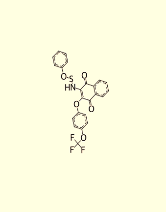 O=C1C(NSOc2ccccc2)=C(Oc2ccc(OC(F)(F)F)cc2)C(=O)c2ccccc21